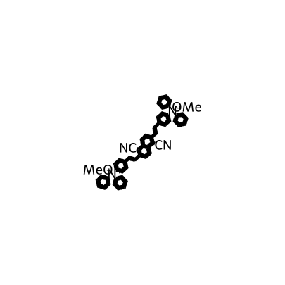 CO[N+](c1ccccc1)(c1ccccc1)c1ccc(C=Cc2ccc3c(C#N)c(C=Cc4ccc([N+](OC)(c5ccccc5)c5ccccc5)cc4)ccc3c2C#N)cc1